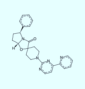 O=C1N2[C@@H](CC[C@H]2c2ccccc2)OC12CCN(c1nccc(-c3ccccn3)n1)CC2